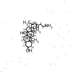 C/C(=N/OCCN)[C@@]1(O)CC[C@@]2(O)[C@@H]3CCC4CC(O)CC[C@]4(C)[C@H]3CC[C@@]21C